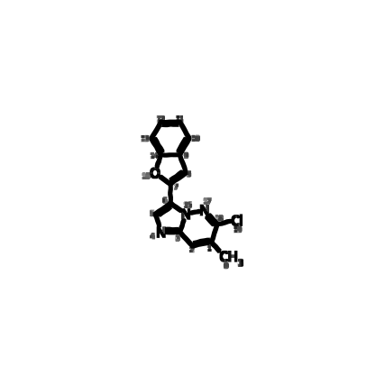 Cc1cc2ncc(-c3cc4ccccc4o3)n2nc1Cl